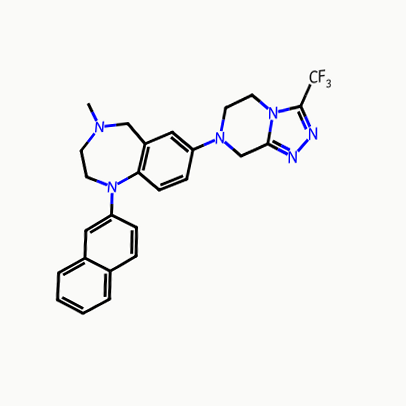 CN1CCN(c2ccc3ccccc3c2)c2ccc(N3CCn4c(nnc4C(F)(F)F)C3)cc2C1